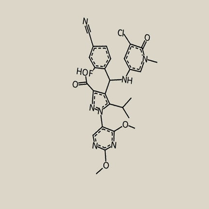 COc1ncc(-n2nc(C(=O)O)c(C(Nc3cc(Cl)c(=O)n(C)c3)c3ccc(C#N)cc3F)c2C(C)C)c(OC)n1